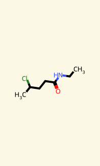 CCNC(=O)CCC(C)Cl